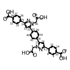 O=C(O)Cn1nc(-c2ccc(C(=O)O)cc2)cc1-c1ccc(-c2cc(-c3ccc(C(=O)O)cc3)nn2CC(=O)O)cc1